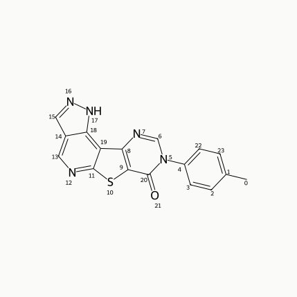 Cc1ccc(-n2cnc3c(sc4ncc5cn[nH]c5c43)c2=O)cc1